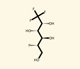 OC[C@H](F)[C@H](O)[C@H](O)[C@@H](O)C(F)(F)F